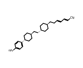 CCCc1ccc([C@H]2CC[C@H](CC[C@H]3CC[C@H](CCC=CC=CC#N)CC3)CC2)cc1